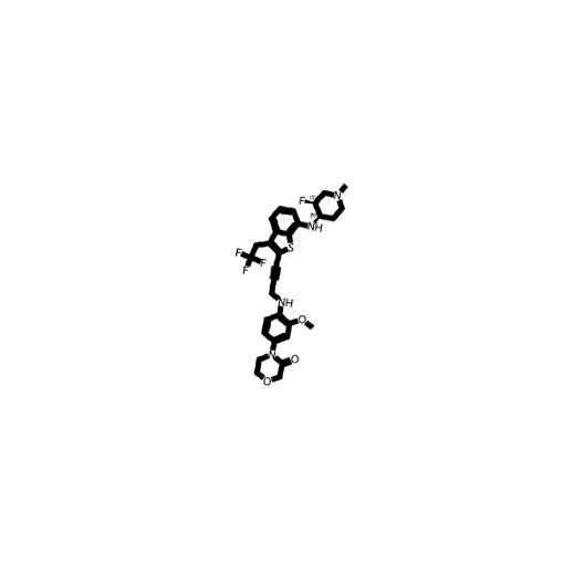 COc1cc(N2CCOCC2=O)ccc1NCC#Cc1sc2c(N[C@@H]3CCN(C)C[C@@H]3F)cccc2c1CC(F)(F)F